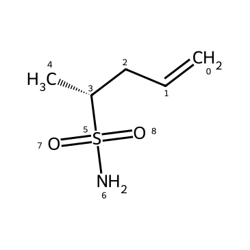 C=CC[C@@H](C)S(N)(=O)=O